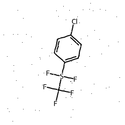 FC(F)(F)S(F)(F)c1ccc(Cl)cc1